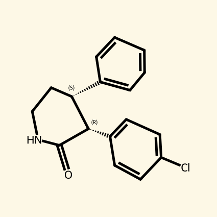 O=C1NCC[C@H](c2ccccc2)[C@@H]1c1ccc(Cl)cc1